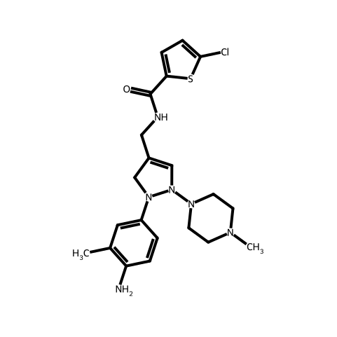 Cc1cc(N2CC(CNC(=O)c3ccc(Cl)s3)=CN2N2CCN(C)CC2)ccc1N